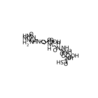 Nc1nc2ncc(CNc3ccc(C(=O)N[C@H](CCC(=O)NC[C@H](N)C(=O)N[C@@H](CC(=O)O)C(=O)N[C@H](C=O)CS)C(=O)O)cc3)nc2c(=O)[nH]1